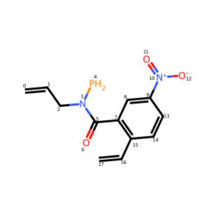 C=CCN(P)C(=O)c1cc([N+](=O)[O-])ccc1C=C